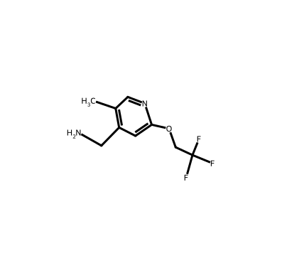 Cc1cnc(OCC(F)(F)F)cc1CN